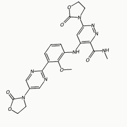 CNC(=O)c1nnc(N2CCOC2=O)cc1Nc1cccc(-c2ncc(N3CCOC3=O)cn2)c1OC